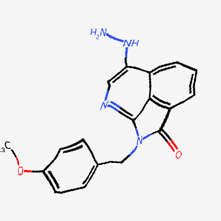 COc1ccc(CN2C(=O)c3cccc4c(NN)cnc2c34)cc1